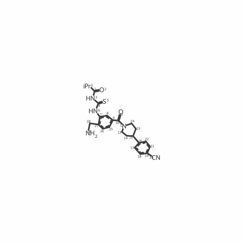 CC(C)C(=O)NC(=S)Nc1cc(C(=O)N2CCC(c3ccc(C#N)cc3)CC2)ccc1CN